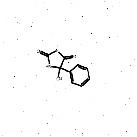 N#CC1(c2ccccc2)NC(=O)NC1=O